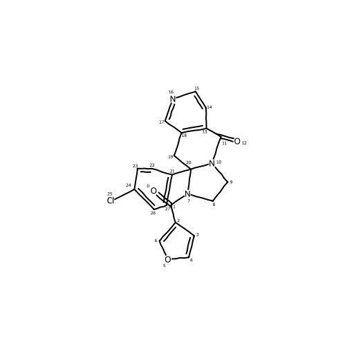 O=C(c1ccoc1)N1CCN2C(=O)c3ccncc3CC12c1ccc(Cl)cc1